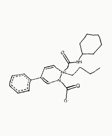 CCCC[N+]1(C(=O)NC2CCCCC2)C=CC(c2ccccc2)=CN1C(=O)[O-]